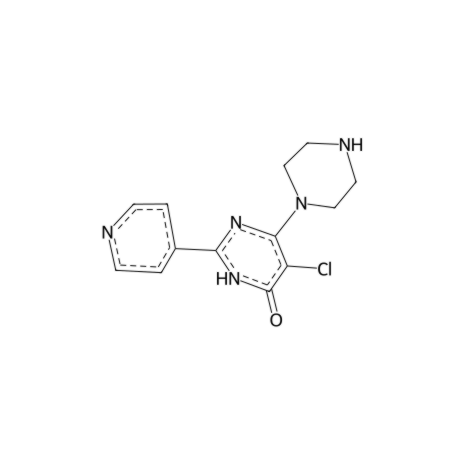 O=c1[nH]c(-c2ccncc2)nc(N2CCNCC2)c1Cl